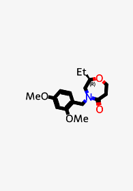 CC[C@@H]1CN(Cc2ccc(OC)cc2OC)C(=O)CCO1